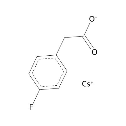 O=C([O-])Cc1ccc(F)cc1.[Cs+]